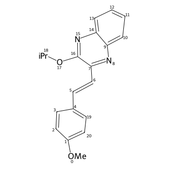 COc1ccc(/C=C/c2nc3ccccc3nc2OC(C)C)cc1